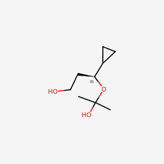 CC(C)(O)O[C@@H](CCO)C1CC1